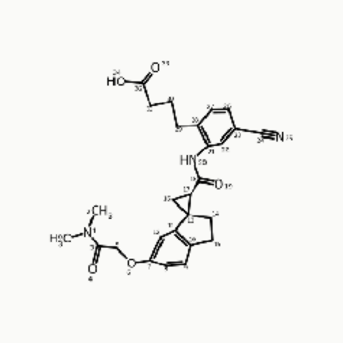 CN(C)C(=O)COc1ccc2c(c1)[C@]1(CC2)C[C@H]1C(=O)Nc1cc(C#N)ccc1CCCC(=O)O